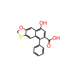 O=C(O)c1cc(O)c2cc3c(cc2c1-c1ccccc1)SCO3